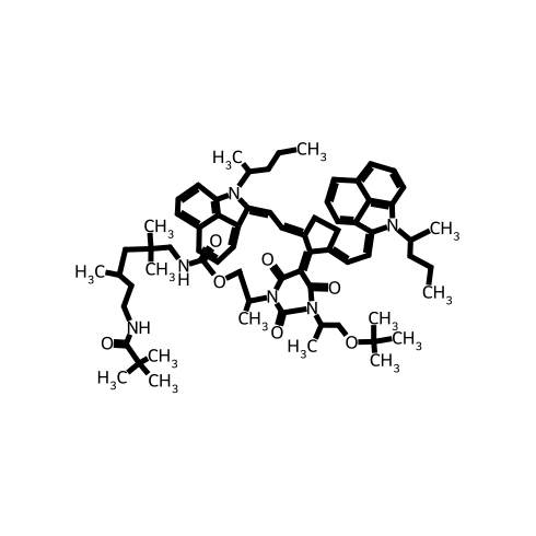 CCCC(C)n1/c(=C/C=C2\CC/C(=C\C=c3/c4cccc5cccc(c54)n3C(C)CCC)C2=C2C(=O)N(C(C)COC(=O)NCC(C)(C)CC(C)CCNC(=O)C(C)(C)C)C(=O)N(C(C)COC(C)(C)C)C2=O)c2cccc3cccc1c32